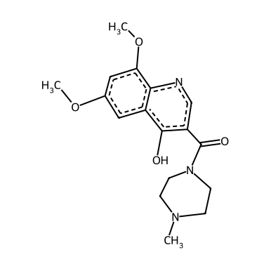 COc1cc(OC)c2ncc(C(=O)N3CCN(C)CC3)c(O)c2c1